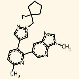 Cc1ccc(-c2cnn(CC3(F)CCCC3)c2)c(-c2cnc3c(c2)ncn3C)n1